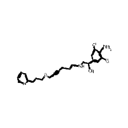 Nc1c(Cl)cc(C(O)CNCCCC#CCOCCCc2ccccn2)cc1Cl